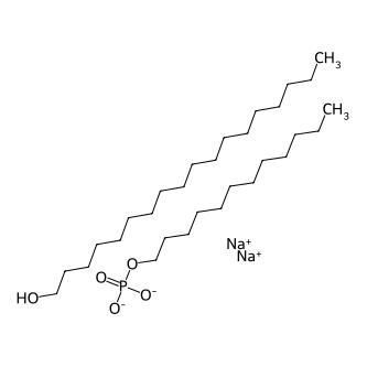 CCCCCCCCCCCCCCCCCCO.CCCCCCCCCCCCOP(=O)([O-])[O-].[Na+].[Na+]